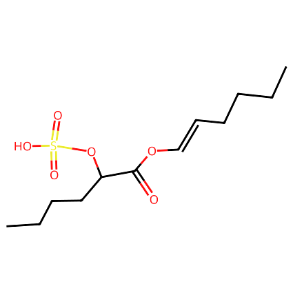 CCCCC=COC(=O)C(CCCC)OS(=O)(=O)O